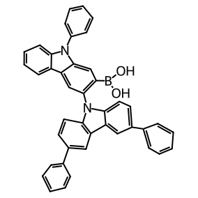 OB(O)c1cc2c(cc1-n1c3ccc(-c4ccccc4)cc3c3cc(-c4ccccc4)ccc31)c1ccccc1n2-c1ccccc1